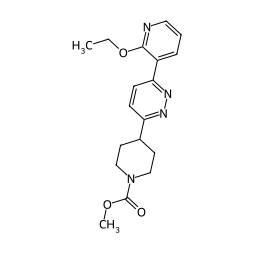 CCOc1ncccc1-c1ccc(C2CCN(C(=O)OC)CC2)nn1